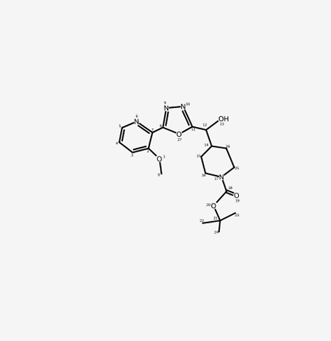 COc1cccnc1-c1nnc(C(O)C2CCN(C(=O)OC(C)(C)C)CC2)o1